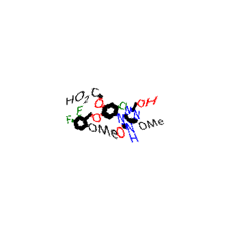 COc1ccc(F)c(F)c1COc1cc(-n2c(=O)[nH]c3c(OC)nc(CO)nc32)c(Cl)cc1OCC(=O)O